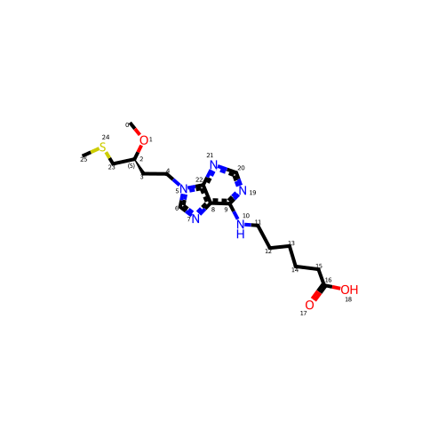 CO[C@@H](CCn1cnc2c(NCCCCCC(=O)O)ncnc21)CSC